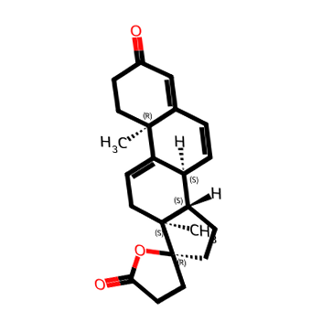 C[C@]12CCC(=O)C=C1C=C[C@@H]1C2=CC[C@@]2(C)[C@H]1CC[C@@]21CCC(=O)O1